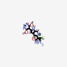 COc1ncnc(OC)c1-c1cc2cc(C3(C(N)=O)CC3(F)F)ncc2n1C